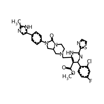 COC(=O)C1=C(CN2CCN3C(=O)N(c4ccc(-c5cnc(C)[nH]5)cc4)CC3C2)NC(c2nccs2)=NC1c1ccc(F)cc1Cl